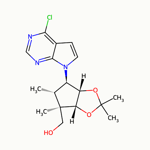 C[C@@H]1[C@@H](n2ccc3c(Cl)ncnc32)[C@@H]2OC(C)(C)O[C@@H]2[C@@]1(C)CO